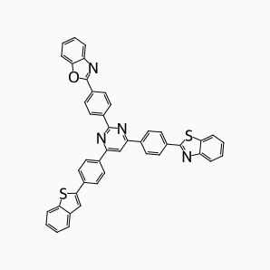 c1ccc2sc(-c3ccc(-c4cc(-c5ccc(-c6nc7ccccc7s6)cc5)nc(-c5ccc(-c6nc7ccccc7o6)cc5)n4)cc3)cc2c1